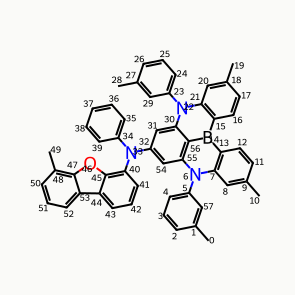 Cc1cccc(N2c3cc(C)ccc3B3c4ccc(C)cc4N(c4cccc(C)c4)c4cc(N(c5ccccc5)c5cccc6c5oc5c(C)cccc56)cc2c43)c1